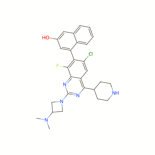 CN(C)C1CN(c2nc(C3CCNCC3)c3cc(Cl)c(-c4cc(O)cc5ccccc45)c(F)c3n2)C1